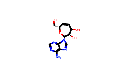 Nc1ncnc2c1ncn2[C@@H]1O[C@H](CO)C=C[C@@H](O)[C@H]1O